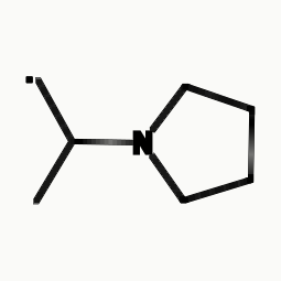 [CH2]C(C)N1CCCC1